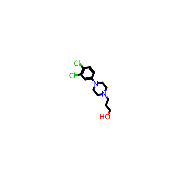 OCCCN1CCN(c2ccc(Cl)c(Cl)c2)CC1